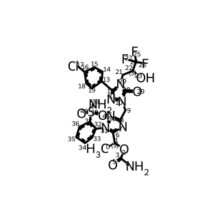 C[C@H](OC(N)=O)c1nc(Cn2nc(-c3ccc(Cl)cc3)n(C[C@H](O)C(F)(F)F)c2=O)nn1-c1ccccc1S(N)(=O)=O